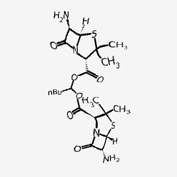 CCCCC(OC(=O)[C@@H]1N2C(=O)[C@@H](N)[C@H]2SC1(C)C)OC(=O)[C@@H]1N2C(=O)[C@@H](N)[C@H]2SC1(C)C